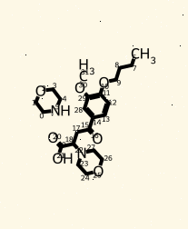 C1COCCN1.CCCCOc1ccc(C(=O)CC(C(=O)O)N2CCOCC2)cc1OC